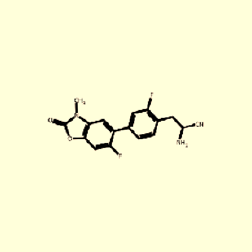 Cn1c(=O)oc2cc(F)c(-c3ccc(C[C@H](N)C#N)c(F)c3)cc21